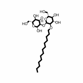 CCCCCCCCCCCCCCO[C@H]1[C@@H](O[C@@H]2[C@@H](O)[C@H](O)[C@@H](CO)O[C@H]2O)O[C@H](CO)[C@@H](O)[C@@H]1O